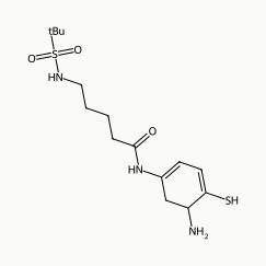 CC(C)(C)S(=O)(=O)NCCCCC(=O)NC1=CC=C(S)C(N)C1